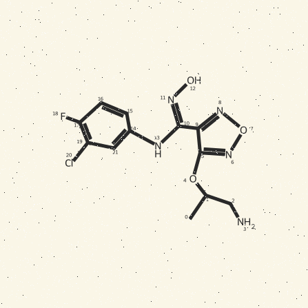 CC(CN)Oc1nonc1/C(=N\O)Nc1ccc(F)c(Cl)c1